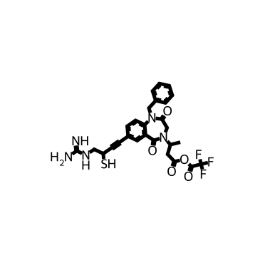 CC(CC(=O)OC(=O)C(F)(F)F)N1CC(=O)N(Cc2ccccc2)c2ccc(C#CC(S)CNC(=N)N)cc2C1=O